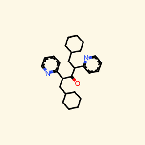 O=C(C(CC1CCCCC1)c1ccccn1)C(CC1CCCCC1)c1ccccn1